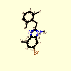 Cc1[c]ccc(C)c1Cc1nc2c(C)cc(Br)cc2n1C